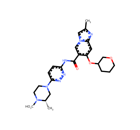 Cc1cn2cc(C(=O)Nc3ccc(N4CCN(C(=O)O)[C@@H](C)C4)nn3)c(OC3CCCOC3)cc2n1